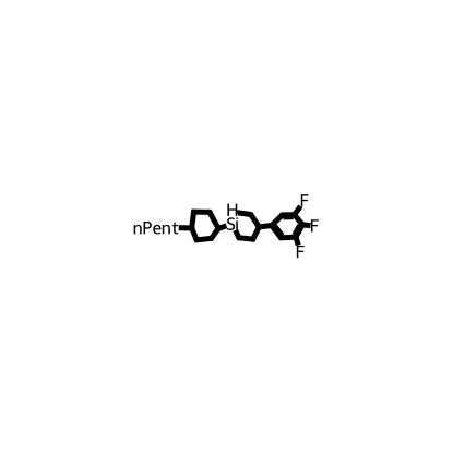 CCCCCC1CCC([SiH]2CCC(c3cc(F)c(F)c(F)c3)CC2)CC1